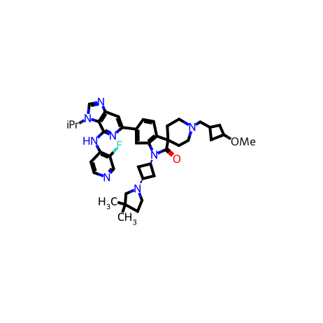 COC1CC(CN2CCC3(CC2)C(=O)N([C@H]2C[C@@H](N4CCC(C)(C)C4)C2)c2cc(-c4cc5ncn(C(C)C)c5c(Nc5ccncc5F)n4)ccc23)C1